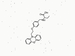 CCC(NCc1ccc(OCCN2c3ccccc3Oc3ccccc32)cc1)C(=O)O